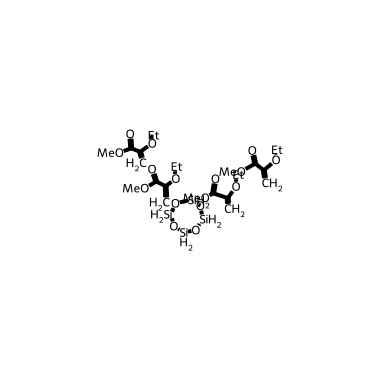 C=C(OCC)C(=O)OC.C=C(OCC)C(=O)OC.C=C(OCC)C(=O)OC.C=C(OCC)C(=O)OC.O1[SiH2]O[SiH2]O[SiH2]O[SiH2]1